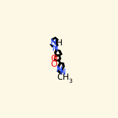 Cc1cn2cc(-c3cc4ccc(N5CCN6CCC[C@H]6C5)cc4oc3=O)ccc2n1